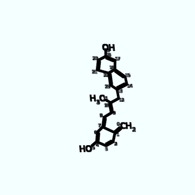 C=c1ccc(O)c/c1=C/C=C(\C)Cc1ccc2cc(O)ccc2c1